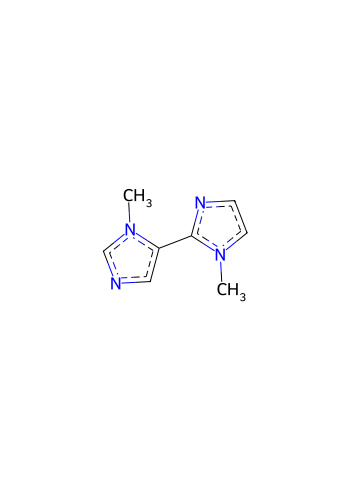 Cn1cncc1-c1nccn1C